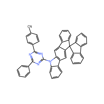 N#Cc1ccc(-c2nc(-c3ccccc3)nc(-n3c4ccccc4c4cc5c(cc43)-c3ccccc3C53c4ccccc4-c4ccccc43)n2)cc1